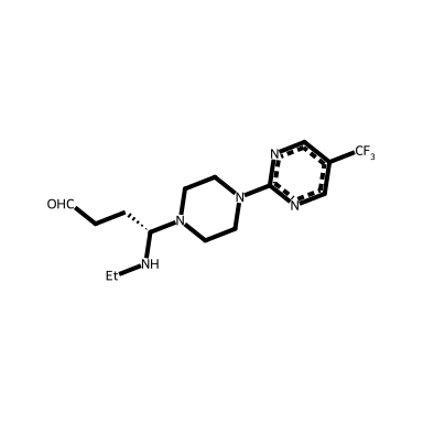 CCN[C@H](CCC=O)N1CCN(c2ncc(C(F)(F)F)cn2)CC1